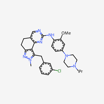 COc1cc(N2CCN(C(C)C)CC2)ccc1Nc1ncc2c(n1)-c1c(nn(C)c1Cc1cccc(Cl)c1)CC2